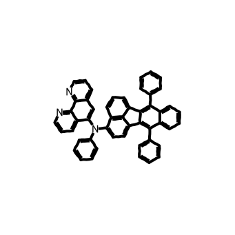 c1ccc(-c2c3c(c(-c4ccccc4)c4ccccc24)-c2ccc(N(c4ccccc4)c4cc5cccnc5c5ncccc45)c4cccc-3c24)cc1